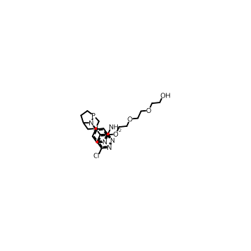 Nc1nnc(Cl)cc1N1CC2CCP(C1)N2c1ccnc(OCCOCCOCCO)c1